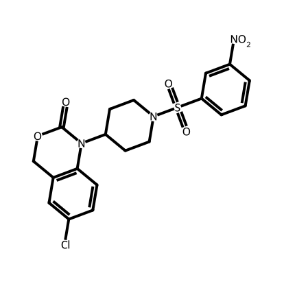 O=C1OCc2cc(Cl)ccc2N1C1CCN(S(=O)(=O)c2cccc([N+](=O)[O-])c2)CC1